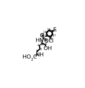 O=C(O)NCCC[C@H](CO)NS(=O)(=O)c1ccc(F)cc1Cl